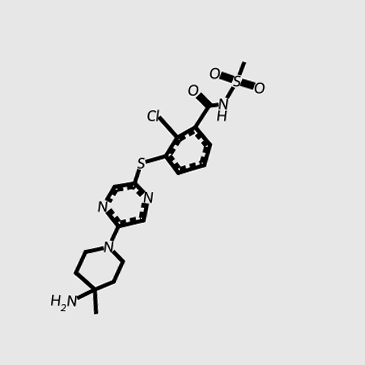 CC1(N)CCN(c2cnc(Sc3cccc(C(=O)NS(C)(=O)=O)c3Cl)cn2)CC1